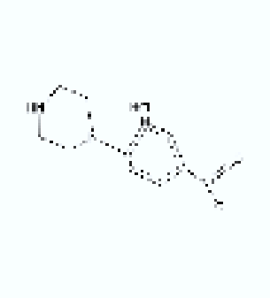 Cl.O=[N+]([O-])c1ccc(N2CCNCC2)nc1